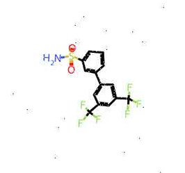 NS(=O)(=O)c1cccc(-c2cc(C(F)(F)F)cc(C(F)(F)F)c2)c1